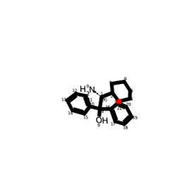 N[C@H](C1CCCCC1)C(O)(c1ccccc1)c1ccccc1